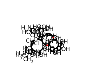 CN[C@H](CC(C)C)C(=O)N[C@H]1C(=O)N[C@H](C(=O)O)CC(=O)N[C@H]2C(=O)N[C@H]3C(=O)N[C@H](C(=O)N[C@@H](C(=O)O)c4cc(O)cc(O)c4-c4cc3ccc4O)[C@H](O)c3ccc(c(Cl)c3)Oc3cc2cc(c3O[C@@H]2O[C@@H](CO)[C@@H](O)[C@H](O)[C@]2(O)O[C@@H]2C[C@H](N)[C@H](O)[C@@H](C)O2)Oc2c(Cl)cc(cc2Cl)[C@H]1O